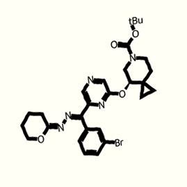 CC(C)(C)OC(=O)N1CCC2(CC2)[C@@H](Oc2cncc(/C(=N/N=C3\CCCCO3)c3cccc(Br)c3)n2)C1